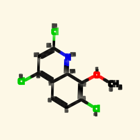 COc1c(Cl)ccc2c(Cl)cc(Cl)nc12